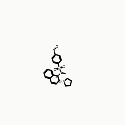 CN([C@@H]1c2ccccc2C=C[C@H]1N1CCCC1)S(=O)(=O)c1ccc(N=O)cc1